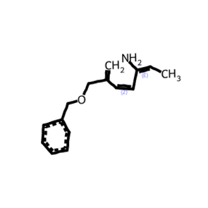 C=C(/C=C\C(N)=C/C)COCc1ccccc1